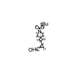 CC(C)(C)OC(=O)N1CCC2(CC1)CC([C@H]1C[C@@H]1C=O)C2